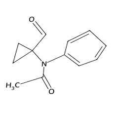 CC(=O)N(c1ccccc1)C1(C=O)CC1